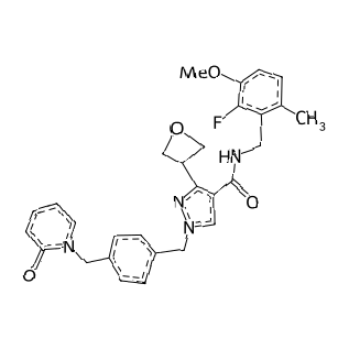 COc1ccc(C)c(CNC(=O)c2cn(Cc3ccc(Cn4ccccc4=O)cc3)nc2C2COC2)c1F